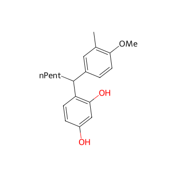 CCCCCC(c1ccc(OC)c(C)c1)c1ccc(O)cc1O